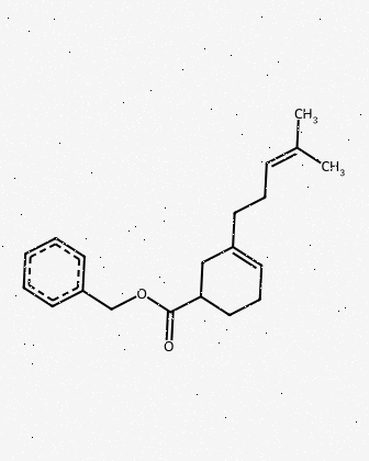 CC(C)=CCCC1=CCCC(C(=O)OCc2ccccc2)C1